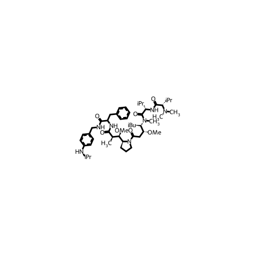 CC[C@H](C)[C@@H]([C@@H](CC(=O)N1CCC[C@H]1[C@H](OC)[C@@H](C)C(=O)NC(Cc1ccccc1)C(=O)NCc1ccc(NC(C)C)cc1)OC)N(C)C(=O)[C@@H](NC(=O)[C@H](C(C)C)N(C)C)C(C)C